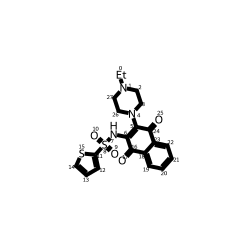 CCN1CCN(C2=C(NS(=O)(=O)c3cccs3)C(=O)c3ccccc3C2=O)CC1